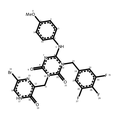 COc1ccc(Nc2nc(=O)n(Cc3nc(Br)c[nH]c3=O)c(=O)n2Cc2cc(F)c(F)c(F)c2)cc1